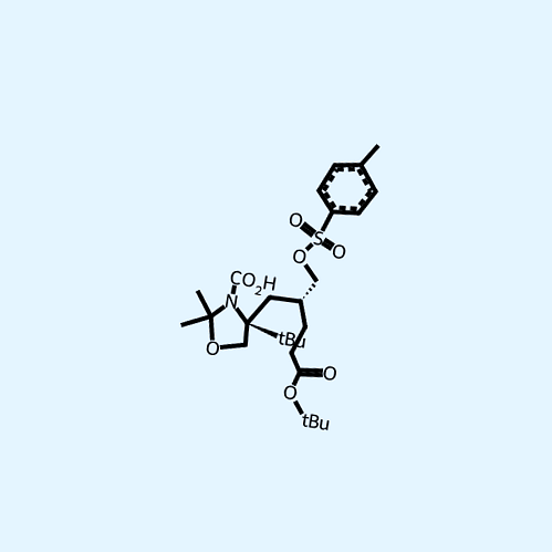 Cc1ccc(S(=O)(=O)OC[C@H](CCC(=O)OC(C)(C)C)C[C@]2(C(C)(C)C)COC(C)(C)N2C(=O)O)cc1